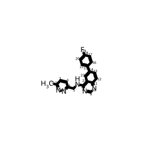 Cc1ccc(CNc2ncnc3ccc(-c4ccc(F)cc4)cc23)nn1